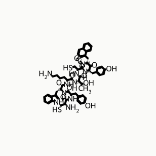 C[C@@H](O)[C@H](NC(=O)C(CCCCN)NC(=O)[C@@H](Cc1c[nH]c2ccccc12)NC(=O)C(Cc1ccc(O)cc1)NC(=O)C(N)CS)C(=O)NC(CS)C(=O)N[C@H](Cc1ccc(O)cc1)C(=O)[C@@H](Cc1cccc2ccccc12)N=C=O